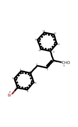 O=C/C(=C/Cc1ccc(Br)cc1)c1ccccc1